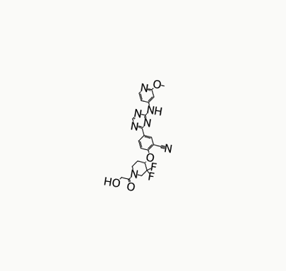 COc1cc(Nc2ncnc(-c3ccc(O[C@H]4CCN(C(=O)CO)CC4(F)F)c(C#N)c3)n2)ccn1